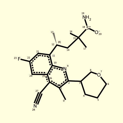 Cc1c(C2CCCOC2)nc2c([C@H](C)CC(C)(C)[S+](N)[O-])cc(F)cc2c1C#N